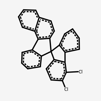 Clc1ccc2c(c1Cl)-c1ccccc1C21c2ccccc2-c2c1ccc1ccccc21